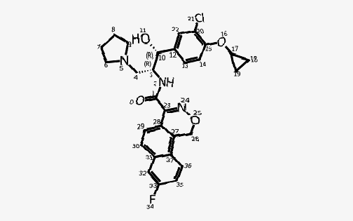 O=C(N[C@H](CN1CCCC1)[C@H](O)c1ccc(OC2CC2)c(Cl)c1)C1=NOCc2c1ccc1cc(F)ccc21